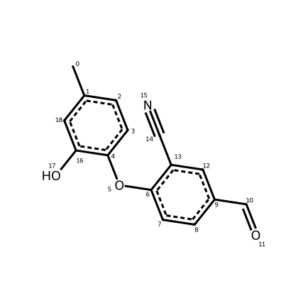 Cc1ccc(Oc2ccc(C=O)cc2C#N)c(O)c1